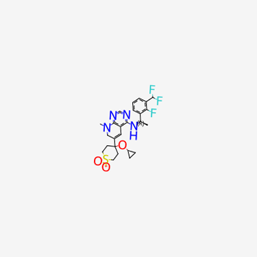 C[C@@H](Nc1ncnc2c1C=C(C1(OC3CC3)CCS(=O)(=O)CC1)CN2C)c1cccc(C(F)F)c1F